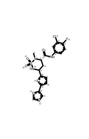 CN1[C@H](C(=O)Nc2ccc(F)c(Cl)c2)CC(c2ccc(-c3cnco3)s2)NS1(=O)=O